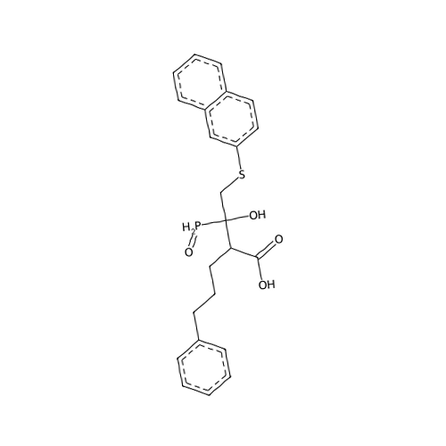 O=[PH2]C(O)(CSc1ccc2ccccc2c1)C(CCCc1ccccc1)C(=O)O